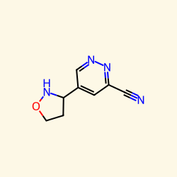 N#Cc1cc(C2CCON2)cnn1